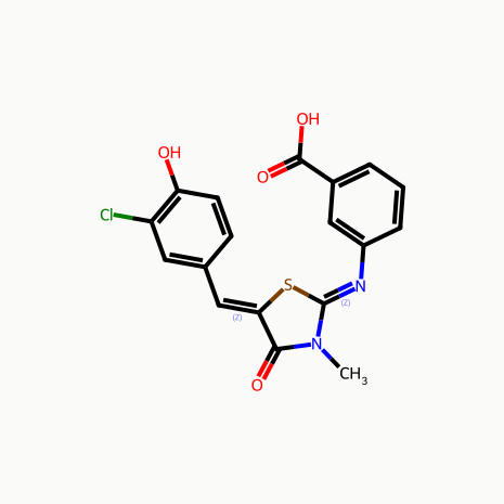 CN1C(=O)/C(=C/c2ccc(O)c(Cl)c2)S/C1=N\c1cccc(C(=O)O)c1